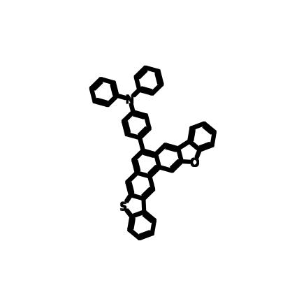 c1ccc(N(c2ccccc2)c2ccc(-c3cc4cc5sc6ccccc6c5cc4c4cc5oc6ccccc6c5cc34)cc2)cc1